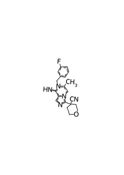 Cc1cn2c(C3(C#N)CCOCC3)ncc2c(=N)n1Cc1cccc(F)c1